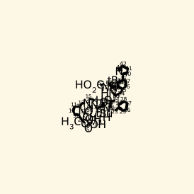 CC(C)(OP(=O)(O)O)c1cccc(CN2CCN([C@H](C(=O)N[C@@H](Cc3ccccc3)[C@@H](O)C[C@@H](Cc3ccc(-c4ccccn4)cc3)NC(=O)[C@@H](NC(=O)O)C(C)(C)C)C(C)(C)C)C2=O)n1